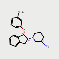 CC(=O)Nc1cccc(O[C@@H]2c3ccccc3C[C@H]2N2CCC[C@@H](N)C2)c1